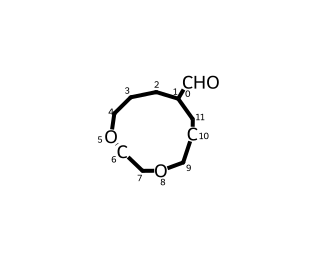 O=CC1CCCOCCOCCC1